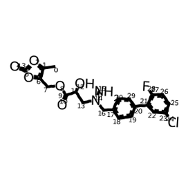 Cc1oc(=O)oc1COC(=O)C(O)CN(N)Cc1ccc(-c2cc(Cl)ccc2F)cc1